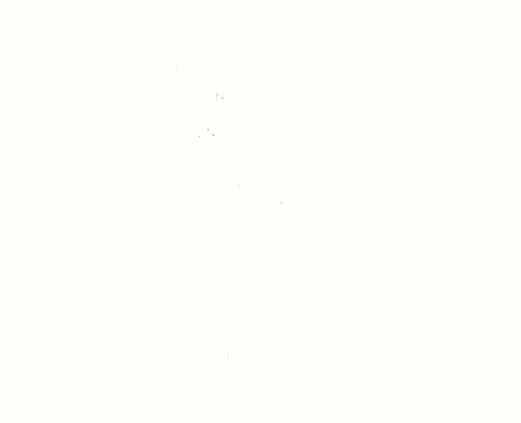 CCOc1ccc(-c2nn(C)c(Cl)c2C=O)cc1